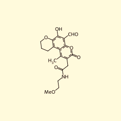 COCCNC(=O)Cc1c(C)c2c3c(c(O)c(C=O)c2oc1=O)OCCC3